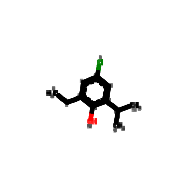 CCc1cc(Cl)cc(C(C)C)c1O